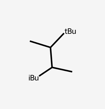 CCC(C)C(C)C(C)C(C)(C)C